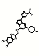 CN1CCN(c2cc(NCc3nc4cc(Cl)c(Cl)cc4[nH]3)c3ncc(-c4cnn(C(F)F)c4)n3n2)CC1